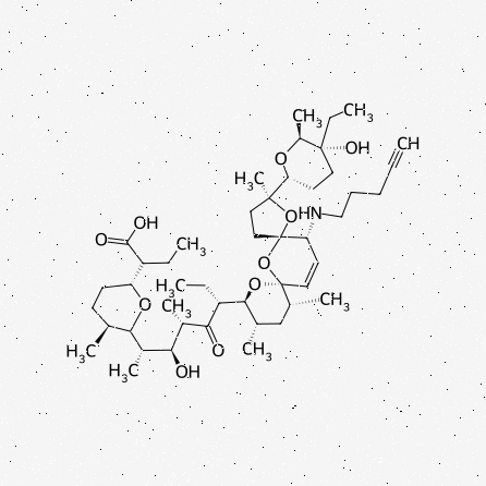 C#CCCCN[C@@H]1C=C[C@]2(O[C@H]([C@@H](CC)C(=O)[C@@H](C)[C@@H](O)[C@H](C)C3O[C@@H](C(CC)C(=O)O)CC[C@@H]3C)[C@@H](C)C[C@H]2C)O[C@@]12CC[C@@](C)([C@H]1CC[C@](O)(CC)[C@H](C)O1)O2